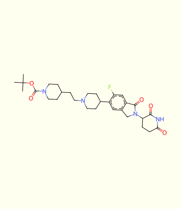 CC(C)(C)OC(=O)N1CCC(CCN2CCC(c3cc4c(cc3F)C(=O)N(C3CCC(=O)NC3=O)C4)CC2)CC1